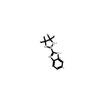 CC1(C)OB(c2nc3ccccc3o2)OC1(C)C